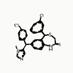 Cn1cncc1C(c1ccc(Cl)cc1)c1ccc2c(c1)C(c1cccc(Cl)c1)SCC(=S)N2